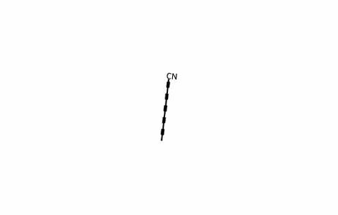 CC#CC#CC#CC#CC#CC#N